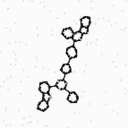 c1ccc(-c2nc(-c3ccc(-c4ccc(-c5nc6oc7ccccc7c6c6ccccc56)cc4)cc3)nc(-c3cccc4c3oc3ccccc34)n2)cc1